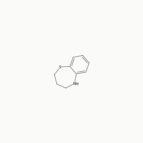 c1ccc2c(c1)NCCCS2